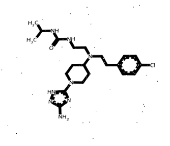 CC(C)NC(=O)NCCN(CCc1ccc(Cl)cc1)C1CCN(c2nc(N)n[nH]2)CC1